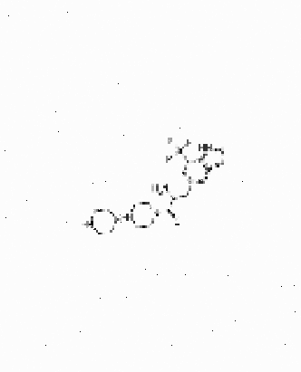 CN1CCC(N2CCN(C(=O)C(N)Cc3cc(C(F)(F)F)c4[nH]ncc4c3)CC2)CC1